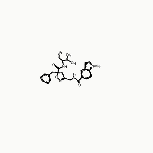 CC(C)CC(NC(=O)C1(Cc2ccccc2)CC(CNC(=O)c2ccc3c(ccn3C(C)C)c2)=NO1)B(O)O